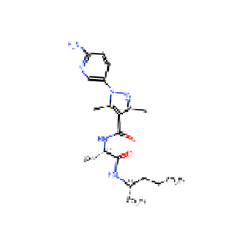 CCOC(=O)CC[C@@H](NC(=O)[C@@H](NC(=O)c1c(C)nn(-c2ccc(N)nc2)c1C)C(C)C)C(=O)OCC